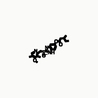 CCC(C)CC(=O)Oc1ccc2[nH]c([S+]([O-])Cc3ncc(C)c(OC)c3C)nc2c1